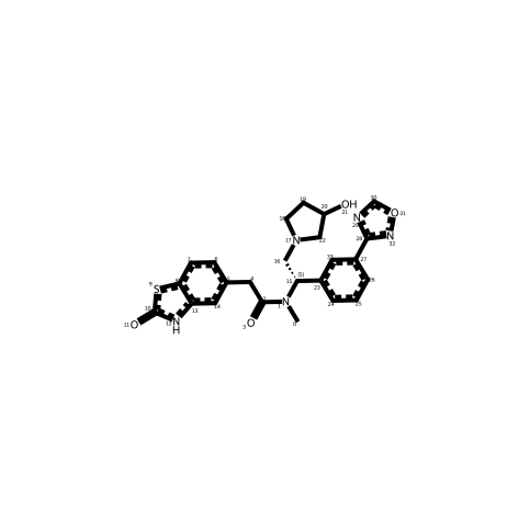 CN(C(=O)Cc1ccc2sc(=O)[nH]c2c1)[C@H](CN1CCC(O)C1)c1cccc(-c2ncon2)c1